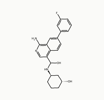 Nc1ncc(C(O)N[C@@H]2CCC[C@@H](O)C2)c2ccc(-c3cccc(F)c3)cc12